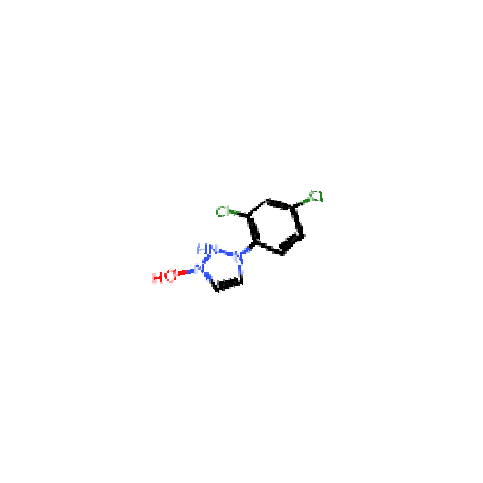 ON1C=CN(c2ccc(Cl)cc2Cl)N1